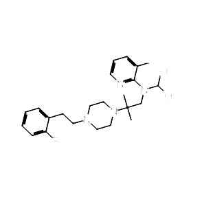 CCC(O)N(CC(C)(C)N1CCN(CCc2ccccc2F)CC1)c1ncccc1F